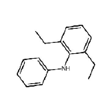 CCc1cccc(CC)c1Nc1ccccc1